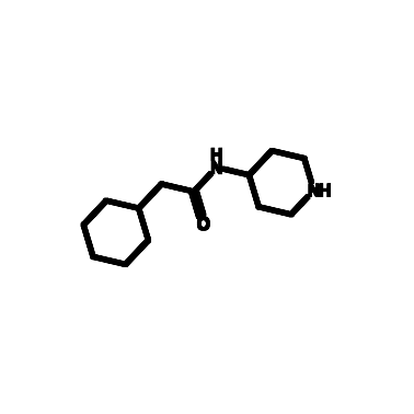 O=C(CC1CCCCC1)NC1CCNCC1